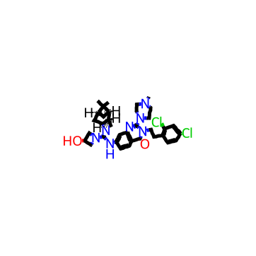 C[C@@H]1[C@@H](N=C(Nc2ccc3c(=O)n(CCc4ccc(Cl)cc4Cl)c(N4CCN(C)CC4)nc3c2)N2CC(O)C2)C[C@@H]2C[C@H]1C2(C)C